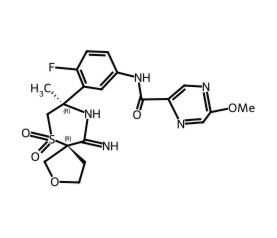 COc1cnc(C(=O)Nc2ccc(F)c([C@]3(C)CS(=O)(=O)[C@]4(CCOC4)C(=N)N3)c2)cn1